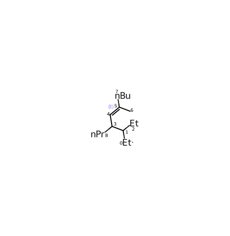 C[CH]C(CC)C(/C=C(\C)CCCC)CCC